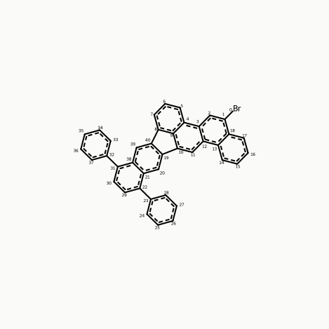 Brc1cc2c3cccc4c3c(cc2c2ccccc12)-c1cc2c(-c3ccccc3)ccc(-c3ccccc3)c2cc1-4